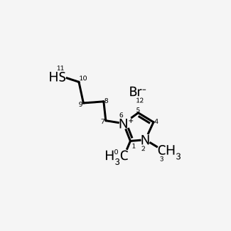 Cc1n(C)cc[n+]1CCCCS.[Br-]